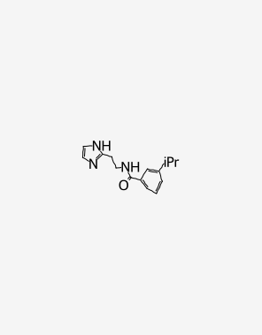 CC(C)c1cccc(C(=O)NCCc2ncc[nH]2)c1